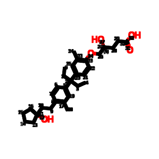 CCC(CC)(c1ccc(CCC2(O)CCCC2)c(C)c1)c1ccc(OC[C@@H](O)CCC(=O)O)c(C)c1